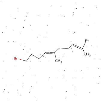 CC/C(C)=C/CC/C(C)=C/CCCBr